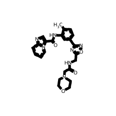 Cc1ccc(-c2noc(CNC(=O)CN3CCOCC3)n2)cc1NC(=O)c1cnc2ccccn12